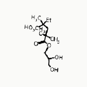 CCC(C)(CC(C)(C)C(=O)OCC(O)CO)C(=O)O